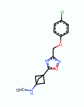 O=CNC12CC(c3nc(COc4ccc(Cl)cc4)no3)(C1)C2